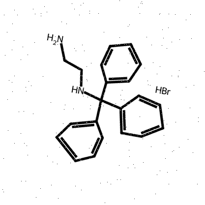 Br.NCCNC(c1ccccc1)(c1ccccc1)c1ccccc1